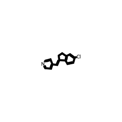 Clc1ccc2c(c1)CC/C2=C\c1ccncc1